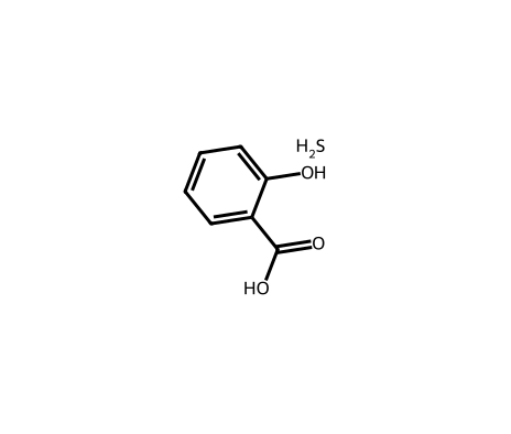 O=C(O)c1ccccc1O.S